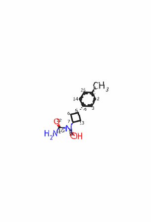 Cc1ccc([C@H]2C[C@H](N(O)C(N)=O)C2)cc1